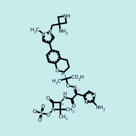 C[n+]1cc(-c2ccc3c(c2)CC[C@H](C(C)(O/N=C(\C(=O)N[C@@H]2C(=O)N(OS(=O)(=O)[O-])C2(C)C)c2csc(N)n2)C(=O)O)O3)cn1CC1(N)CNC1